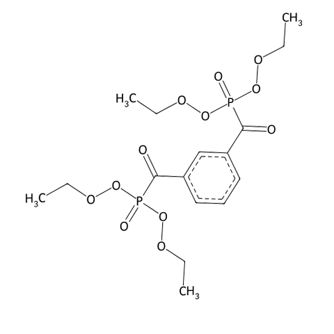 CCOOP(=O)(OOCC)C(=O)c1cccc(C(=O)P(=O)(OOCC)OOCC)c1